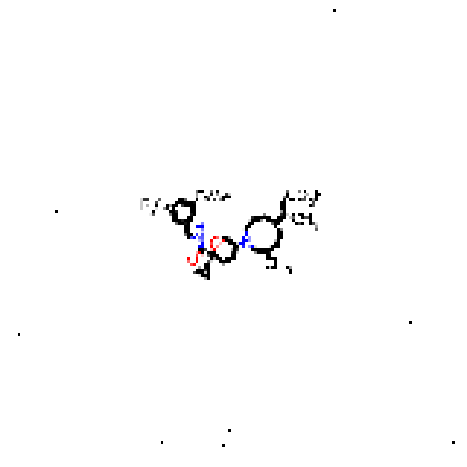 COc1cc(CNC(=O)[C@@]2(C3CC3)CC[C@@H](N3CCCC([C@@H](C)CC(=O)O)CCC(C)C3)CO2)cc(C(F)(F)F)c1